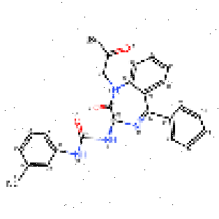 CC(C)(C)C(=O)CN1C(=O)[C@H](NC(=O)Nc2cccc(C#N)c2)N=C(c2ccccc2)c2ccccc21